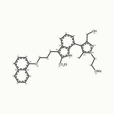 CCOC(=O)c1[nH]c2c(-c3c(CO)nn(CCOC)c3C)cccc2c1CCCOc1cccc2ccccc12